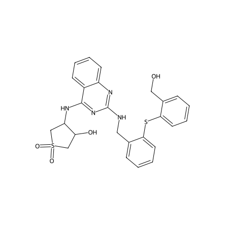 O=S1(=O)CC(O)C(Nc2nc(NCc3ccccc3Sc3ccccc3CO)nc3ccccc23)C1